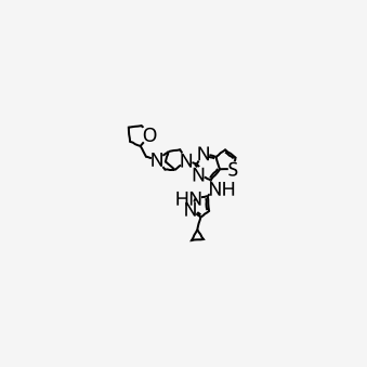 c1cc2nc(N3CC4CC3CN4CC3CCCO3)nc(Nc3cc(C4CC4)n[nH]3)c2s1